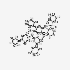 CB1c2cccc(C(C)(C)c3ccccc3C)c2Cc2cc(-c3ccccc3C)cc(-c3ccc(-c4ccccc4)cc3Cc3ccc(-c4ccccc4)cc3)c21